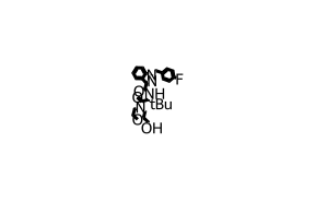 CC(C)(C)[C@H](NC(=O)c1nn(Cc2ccc(F)cc2)c2ccccc12)C(=O)N1CCOC(CO)C1